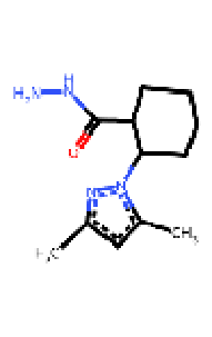 Cc1cc(C)n(C2CCCCC2C(=O)NN)n1